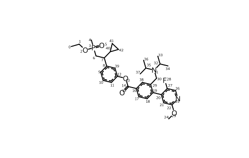 CCOP(C)(=O)CC(c1cccc(OC(=O)c2ccc(-c3cc(OC)ncc3F)c(CN(C(C)C)C(C)C)c2)c1)C1CC1